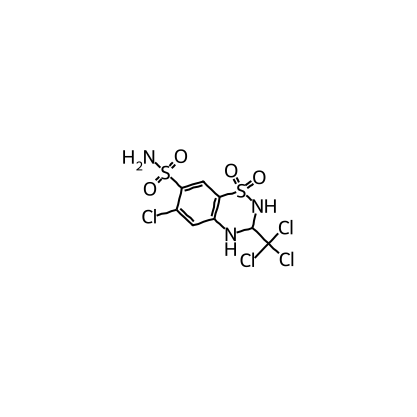 NS(=O)(=O)c1cc2c(cc1Cl)NC(C(Cl)(Cl)Cl)NS2(=O)=O